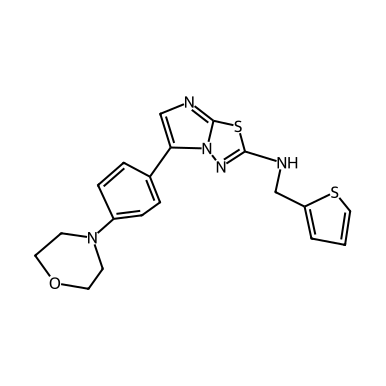 c1csc(CNc2nn3c(-c4ccc(N5CCOCC5)cc4)cnc3s2)c1